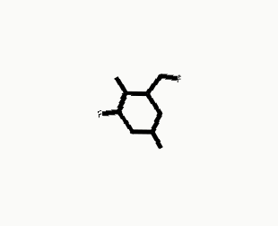 CC1CC(F)C(C)C(CF)C1